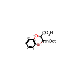 CCCCCCCCC(Br)C(Oc1ccccc1)C(=O)O